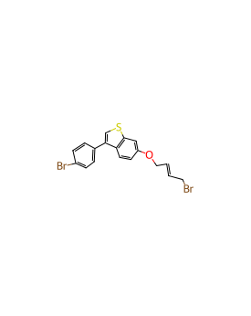 BrC/C=C/COc1ccc2c(-c3ccc(Br)cc3)csc2c1